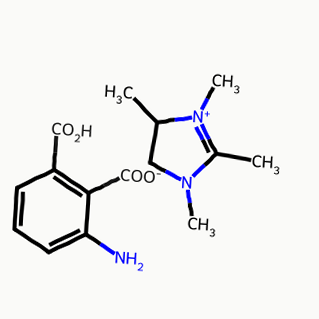 CC1=[N+](C)C(C)CN1C.Nc1cccc(C(=O)O)c1C(=O)[O-]